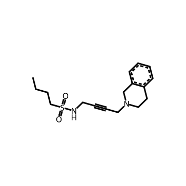 CCCCS(=O)(=O)NCC#CCN1CCc2ccccc2C1